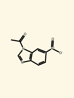 CC(=O)n1cnc2ccc([N+](=O)[O-])cc21